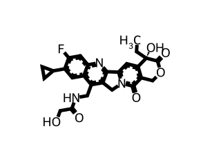 CC[C@@]1(O)C(=O)OCc2c1cc1n(c2=O)Cc2c-1nc1cc(F)c(C3CC3)cc1c2CNC(=O)CO